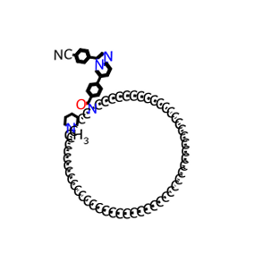 CN1CCCCC12CCCCCCCCCCCCCCCCCCCCCCCCCCCCCCCCCCCCCCCCCCCCCCCCN(C(=O)c1ccc(-c3ccc4ncc(-c5ccc(C#N)cc5)n4c3)cc1)CC2